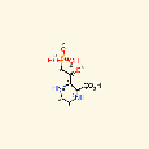 O=C(O)C1NCCNC1C(=O)CP(=O)(O)O